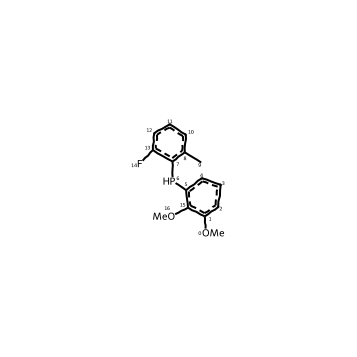 COc1cccc(Pc2c(C)cccc2F)c1OC